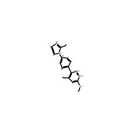 CSc1cc(C)c(-c2ccc(-n3ccnc3C)cc2)nn1